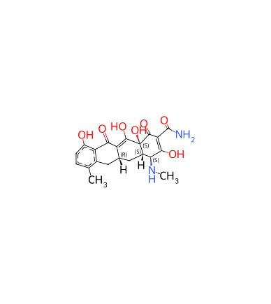 CN[C@@H]1C(O)=C(C(N)=O)C(=O)[C@@]2(O)C(O)=C3C(=O)c4c(O)ccc(C)c4C[C@H]3C[C@@H]12